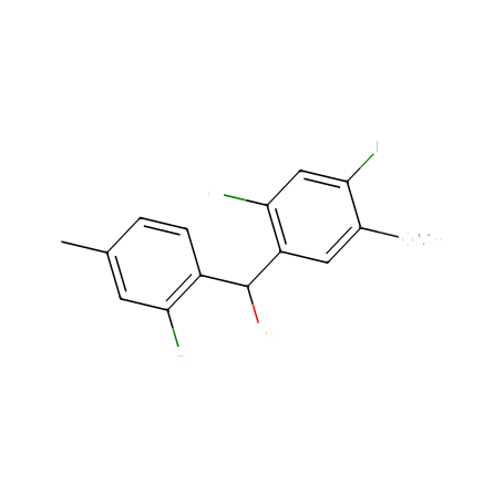 COc1cc(C(O)c2ccc(C)cc2Br)c(Cl)cc1F